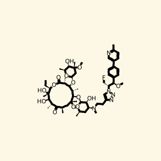 CC[C@H]1OC(=O)[C@H](C)[C@@H](O[C@H]2C[C@@](C)(OC)[C@@H](O)[C@H](C)O2)[C@H](C)[C@@H](O[C@@H]2O[C@H](C)C[C@H](N(C)CCc3cn([C@H](CF)[C@H](OC)c4ccc(-c5ccc(C)nc5)cc4)nn3)[C@H]2O)[C@](C)(OC)C[C@@H](C)C(=O)[C@H](C)[C@@H](O)[C@]1(C)O